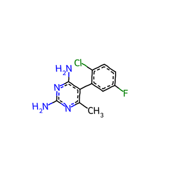 Cc1nc(N)nc(N)c1-c1cc(F)ccc1Cl